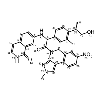 Cc1cc(C(Nc2ccc3cc[nH]c(=O)c3c2)C(=O)N(C)Cc2cc([N+](=O)[O-])ccc2-c2cnn(C)c2)ccc1[C@@H](C)CO